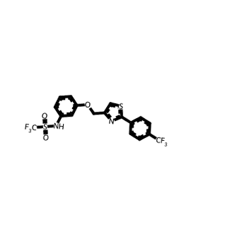 O=S(=O)(Nc1cccc(OCc2csc(-c3ccc(C(F)(F)F)cc3)n2)c1)C(F)(F)F